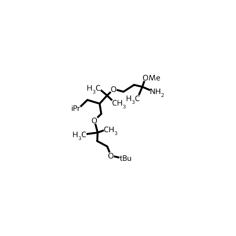 COC(C)(N)CCOC(C)(C)C(COC(C)(C)CCOC(C)(C)C)CC(C)C